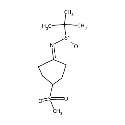 CC(C)(C)[S@+]([O-])N=C1CCC(S(C)(=O)=O)CC1